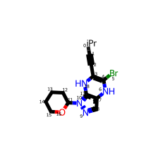 CC(C)C#CC1=C(Br)Nc2cnn(C3CCCCO3)c2N1